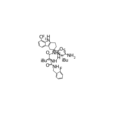 CCC(C)[C@H](NC(=O)NCc1ccccc1F)C(=O)N[C@]1(C(=O)N[C@H](C(N)=S)C(C)CC)CCc2[nH]c3c(C(F)(F)F)cccc3c2C1